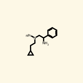 CCCN(CCC1CC1)CC(N)c1ccccc1